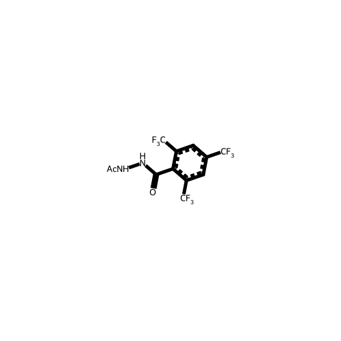 CC(=O)NNC(=O)c1c(C(F)(F)F)cc(C(F)(F)F)cc1C(F)(F)F